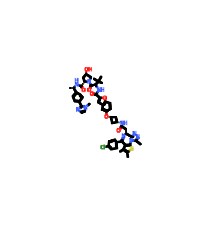 Cc1sc2c(c1C)C(c1ccc(Cl)cc1)=N[C@@H](CC(=O)N[C@H]1C[C@@H](Oc3ccc4oc(C(=O)NC(C(=O)N5C[C@H](O)C[C@H]5C(=O)N[C@@H](C)c5ccc(-c6nccn6C)cc5)C(C)(C)C)cc4c3)C1)c1nnc(C)n1-2